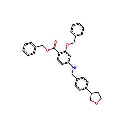 O=C(OCc1ccccc1)c1ccc(NCc2ccc(C3CCOC3)cc2)cc1OCc1ccccc1